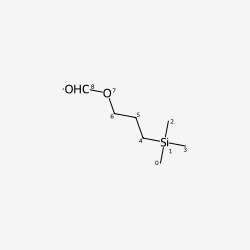 C[Si](C)(C)CCCO[C]=O